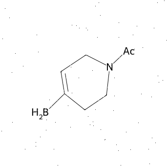 BC1=CCN(C(C)=O)CC1